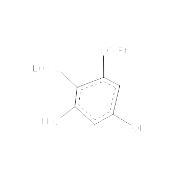 CCOC(=O)c1cc(O)cc(C)c1C(=O)OCC